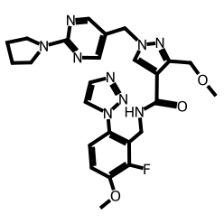 COCc1nn(Cc2cnc(N3CCCC3)nc2)cc1C(=O)NCc1c(-n2ccnn2)ccc(OC)c1F